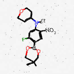 CCN(c1cc(F)c(B2OCC(C)(C)CO2)cc1[N+](=O)[O-])C1CCOCC1